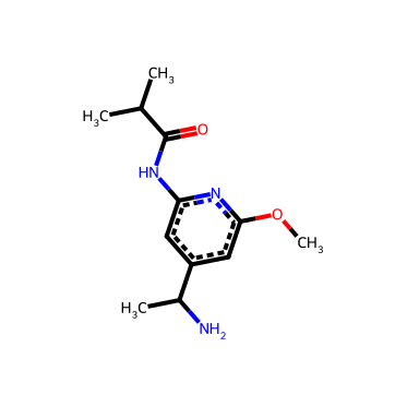 COc1cc(C(C)N)cc(NC(=O)C(C)C)n1